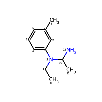 CCN(c1cccc(C)c1)C(C)N